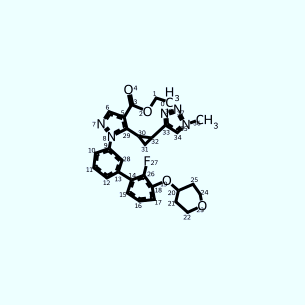 CCOC(=O)c1cnn(-c2cccc(-c3cccc(OC4CCOCC4)c3F)c2)c1C1CC1c1cn(C)nn1